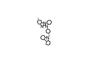 Cc1ccc2nc3n(-c4ccc(Cn5c6ccccc6c6ccccc65)cc4)c4ccccc4n3c2c1